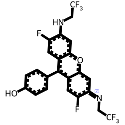 Oc1ccc(-c2c3cc(F)/c(=N\CC(F)(F)F)cc-3oc3cc(NCC(F)(F)F)c(F)cc23)cc1